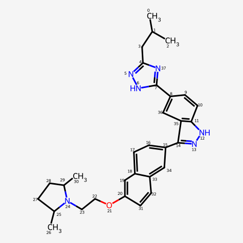 CC(C)Cc1n[nH]c(-c2ccc3[nH]nc(-c4ccc5cc(OCCN6C(C)CCC6C)ccc5c4)c3c2)n1